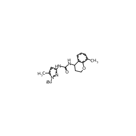 CCC(C)n1nc(NC(=O)NC2CCOc3c(C)cccc32)cc1C